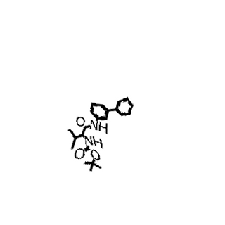 CC(C)C(NC(=O)OC(C)(C)C)C(=O)Nc1cccc(-c2ccccc2)c1